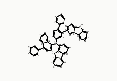 c1ccc(-c2ccc(N(c3ccc(-c4ccccc4)c4ccccc34)c3cccc4c3sc3ccccc34)cc2-c2ccc3sc4ccccc4c3c2)cc1